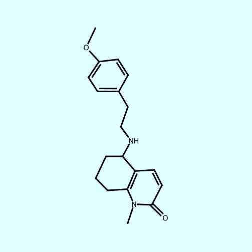 COc1ccc(CCNC2CCCc3c2ccc(=O)n3C)cc1